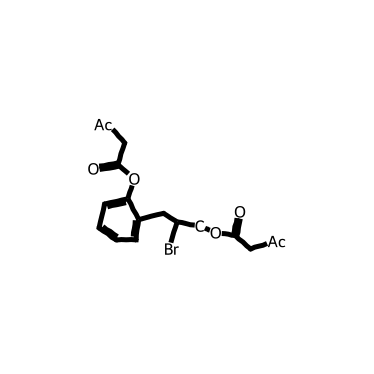 CC(=O)CC(=O)OCC(Br)Cc1ccccc1OC(=O)CC(C)=O